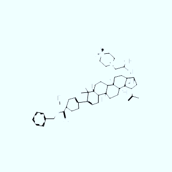 C=C(C)[C@@H]1CC[C@]2(NC(CN3CCS(=O)(=O)CC3)C(F)(F)F)CC[C@]3(C)[C@H](CC[C@@H]4[C@@]5(C)CC=C(C6=CC[C@](CF)(C(=O)OCc7ccccc7)CC6)C(C)(C)[C@@H]5CC[C@]43C)[C@@H]12